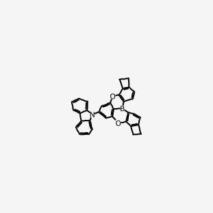 c1ccc2c(c1)c1ccccc1n2-c1cc2c3c(c1)Oc1c(ccc4c1CC4)B3c1ccc3c(c1O2)CC3